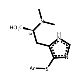 CC(=O)Sc1nc[nH]c1C[C@@H](C(=O)O)N(C)C